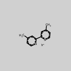 Cc1ccnc(-c2cc(C)ccn2)c1.[Ir+]